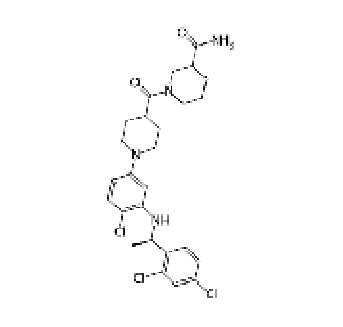 C[C@@H](Nc1cc(N2CCC(C(=O)N3CCCC(C(N)=O)C3)CC2)ccc1Cl)c1ccc(Cl)cc1Cl